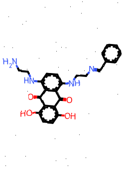 NCCNc1ccc(NCCN=Cc2ccccc2)c2c1C(=O)c1c(O)ccc(O)c1C2=O